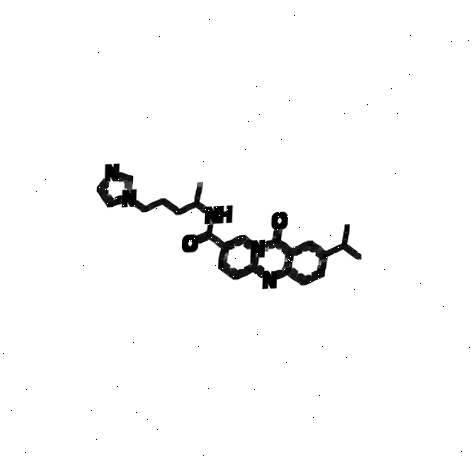 CC(CCCn1ccnc1)NC(=O)c1ccc2nc3ccc(C(C)C)cc3c(=O)n2c1